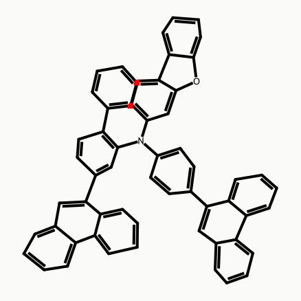 c1ccc(-c2ccc(-c3cc4ccccc4c4ccccc34)cc2N(c2ccc(-c3cc4ccccc4c4ccccc34)cc2)c2ccc3c(c2)oc2ccccc23)cc1